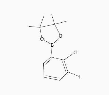 CC1(C)OB(c2cccc(I)c2Cl)OC1(C)C